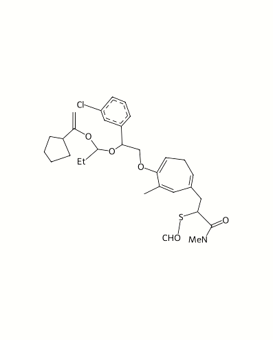 C=C(OC(CC)OC(COC1=CCC=C(CC(SC=O)C(=O)NC)C=C1C)c1cccc(Cl)c1)C1CCCC1